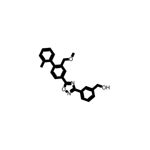 COCc1cc(-c2nc(-c3cccc(CO)c3)no2)ccc1-c1ccccc1C